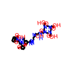 COc1cccc(OC)c1-c1cc(C(=O)NC2(C(=O)O)C3CC4CC(C3)CC2C4)nn1-c1ccc(-c2cn(CCCN(C)C[C@@H](O)CNC(=O)CN3CCN(CC(=O)O)CCN(CC(=O)O)CCN(CC(=O)O)CC3)nn2)cc1C(C)C